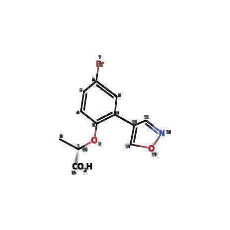 C[C@H](Oc1ccc(Br)cc1-c1cnoc1)C(=O)O